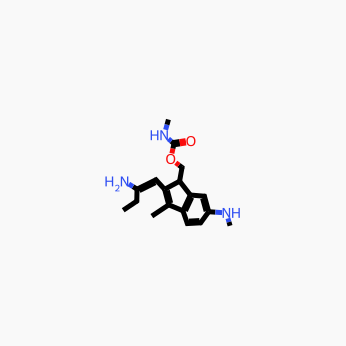 CC/C(N)=C\C1=C(C)c2ccc(NC)cc2C1COC(=O)NC